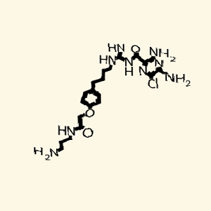 N=C(NCCCCc1ccc(OCC(=O)NCCCN)cc1)NC(=O)c1nc(Cl)c(N)nc1N